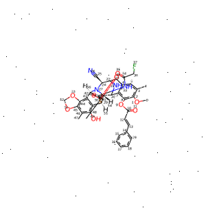 COc1c(C)cc2c(c1OC(=O)/C=C/c1ccccc1)C1NC(C2)[C@H](C#N)N2[C@H]1[C@@H]1SCC(NC(=O)CF)C(=O)OC[C@H]2c2c3c(c(C)c(O)c21)OCO3